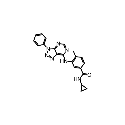 Cc1ccc(C(=O)NC2CC2)cc1Nc1ncnc2c1nnn2-c1ccccc1